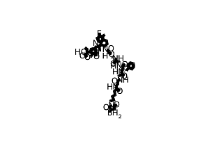 BC1CC(=O)N(CCCCCC(=O)NCC(=O)NCC(=O)N[C@@H](Cc2ccccc2)C(=O)NCC(=O)NCOCC(=O)N[C@H]2CCc3c(C)c(F)cc4nc5c(c2c34)Cn2c-5cc3c(c2=O)COC(=O)[C@]3(O)CC)C1=O